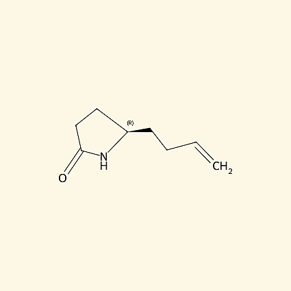 C=CCC[C@@H]1CCC(=O)N1